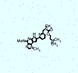 CNc1nc2[nH]c(-c3cccc(CN(C)C(=O)OCCN(C)C)n3)cc2c2c1ncn2C